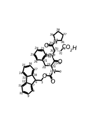 CN(C(=O)OCC1c2ccccc2-c2ccccc21)[C@@H](Cc1ccccc1)C(=O)N[C@@H](CC(=O)O)C(=O)N1CCCC1